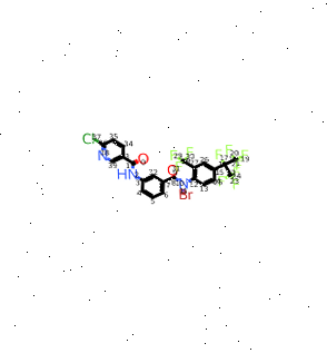 O=C(Nc1cccc(C(=O)N(Br)c2ccc(C(F)(C(F)(F)F)C(F)(F)F)cc2C(F)(F)F)c1)c1ccc(Cl)nc1